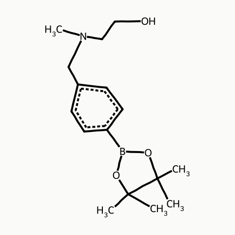 CN(CCO)Cc1ccc(B2OC(C)(C)C(C)(C)O2)cc1